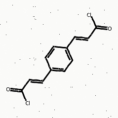 O=C(Cl)C=Cc1ccc(C=CC(=O)Cl)cc1